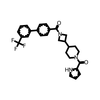 O=C(c1ccc(-c2cccc(C(F)(F)F)c2)cc1)N1CC(C2CCN(C(=O)c3ccc[nH]3)CC2)C1